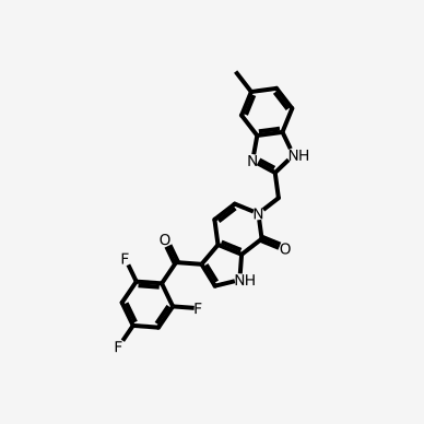 Cc1ccc2[nH]c(Cn3ccc4c(C(=O)c5c(F)cc(F)cc5F)c[nH]c4c3=O)nc2c1